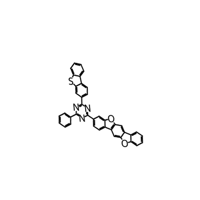 c1ccc(-c2nc(-c3ccc4c(c3)oc3cc5c(cc34)oc3ccccc35)nc(-c3ccc4c(c3)sc3ccccc34)n2)cc1